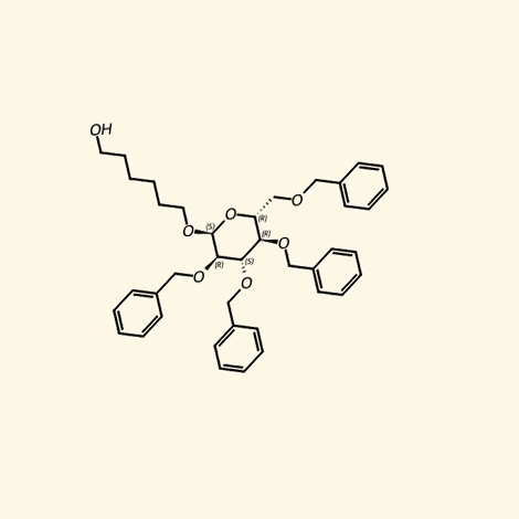 OCCCCCCO[C@H]1O[C@H](COCc2ccccc2)[C@@H](OCc2ccccc2)[C@H](OCc2ccccc2)[C@H]1OCc1ccccc1